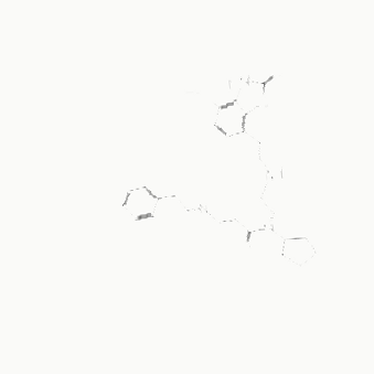 O=C(CCNCCc1ccccc1)N(CCNCCc1ccc(O)c2[nH]c(=O)sc12)C1CCCC1